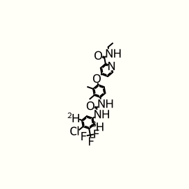 [2H]c1cc(NC(=O)Nc2ccc(Oc3ccnc(C(=O)NCC)c3)c(C)c2C)c([2H])c(C(F)(F)F)c1Cl